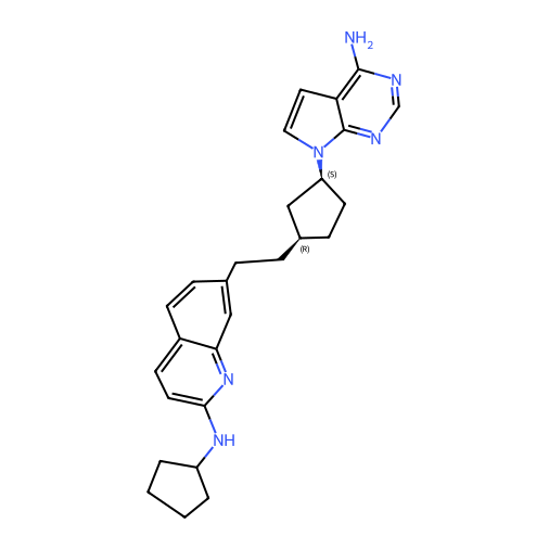 Nc1ncnc2c1ccn2[C@H]1CC[C@@H](CCc2ccc3ccc(NC4CCCC4)nc3c2)C1